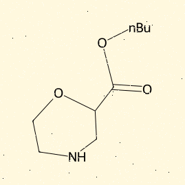 CCCCOC(=O)C1CNCCO1